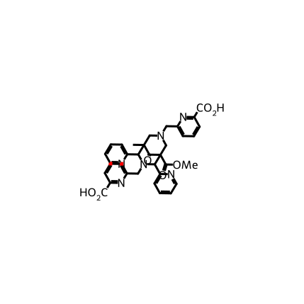 COC(=O)C12CN(Cc3cccc(C(=O)O)n3)CC(C)(C1=O)C(c1ccccn1)N(Cc1cccc(C(=O)O)n1)C2c1ccccn1